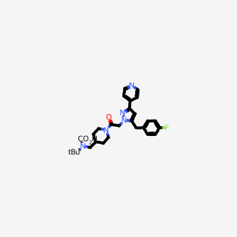 CC(C)(C)N(CC1CCN(C(=O)Cn2nc(-c3ccncc3)cc2Cc2ccc(F)cc2)CC1)C(=O)O